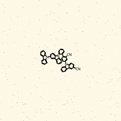 N#Cc1ccc2c(c1)c1ccccc1n2-c1ccc(-c2ccccc2-n2c3ccccc3c3cc(-n4c5ccccc5c5ccccc54)ccc32)c(C#N)c1